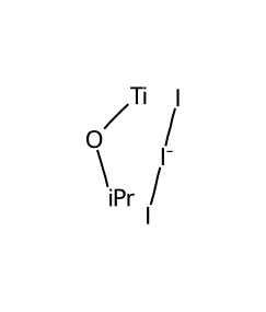 CC(C)[O][Ti].I[I-]I